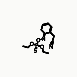 CCOP(=S)(OCC)ON=C1CC=CC=C1CC#N